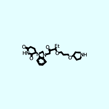 CCC(OCCCOC1CCNCC1)C(=O)CN1CN(C2CCC(=O)NC2=O)c2ccccc21